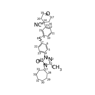 Cc1nn(-c2ccc(Sc3cccc(C4(C#N)CCOCC4)c3)cc2)c(=O)n1C1CCCCCC1